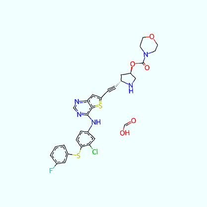 O=C(O[C@H]1CN[C@H](C#Cc2cc3ncnc(Nc4ccc(Sc5cccc(F)c5)c(Cl)c4)c3s2)C1)N1CCOCC1.O=CO